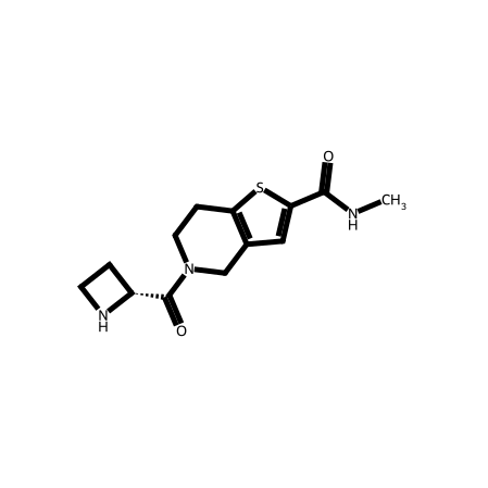 CNC(=O)c1cc2c(s1)CCN(C(=O)[C@H]1CCN1)C2